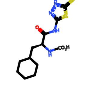 O=C(O)N[C@@H](CC1CCCCC1)C(=O)Nc1n[nH]c(=S)s1